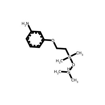 C[SiH](C)O[Si](C)(C)CCOc1cccc(N)c1